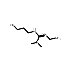 CC(C)CCCN/C(=N/CN)N(C)C